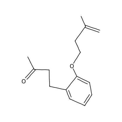 C=C(C)CCOc1ccccc1CCC(C)=O